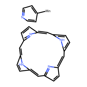 C1=Cc2cc3ccc(cc4nc(cc5ccc(cc1n2)[nH]5)C=C4)[nH]3.[Mn][c]1ccncc1